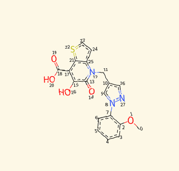 COc1ccccc1-n1cc(Cn2c(=O)c(O)c(C(=O)O)c3sccc32)cn1